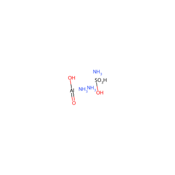 N.N.N.O=S(=O)(O)O.[O]=[Al][OH]